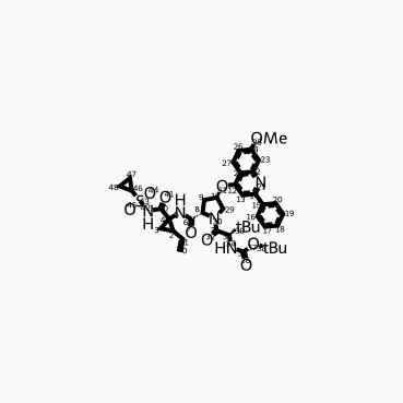 C=CC1CC1(NC(=O)[C@@H]1C[C@@H](Oc2cc(-c3ccccc3)nc3cc(OC)ccc23)CN1C(=O)[C@H](NC(=O)OC(C)(C)C)C(C)(C)C)C(=O)NS(=O)(=O)C1CC1